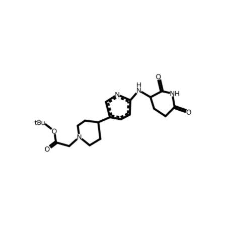 CC(C)(C)OC(=O)CN1CCC(c2ccc(NC3CCC(=O)NC3=O)nc2)CC1